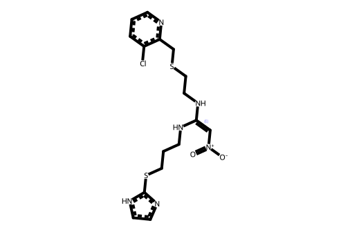 O=[N+]([O-])/C=C(\NCCCSc1ncc[nH]1)NCCSCc1ncccc1Cl